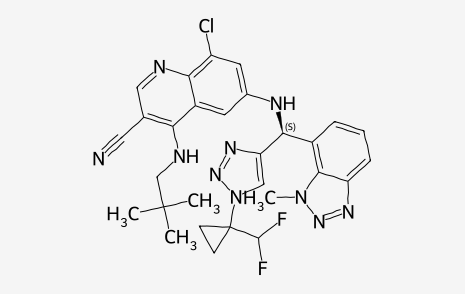 Cn1nnc2cccc([C@H](Nc3cc(Cl)c4ncc(C#N)c(NCC(C)(C)C)c4c3)c3cn(C4(C(F)F)CC4)nn3)c21